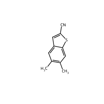 Cc1cc2cc(C#N)sc2cc1C